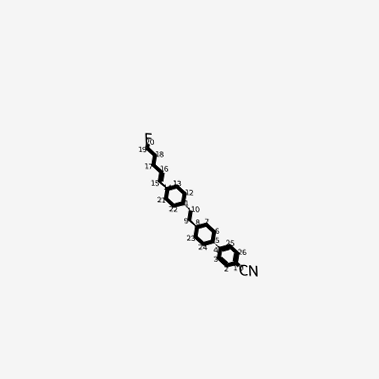 N#Cc1ccc([C@H]2CC[C@H](CC[C@H]3CC[C@H](C=CCCCF)CC3)CC2)cc1